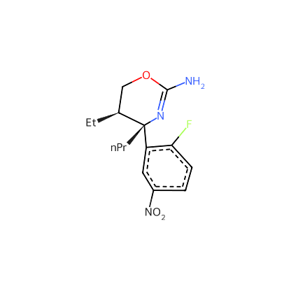 CCC[C@]1(c2cc([N+](=O)[O-])ccc2F)N=C(N)OC[C@@H]1CC